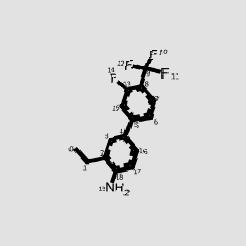 CCc1cc(-c2ccc(C(F)(F)F)c(F)c2)ccc1N